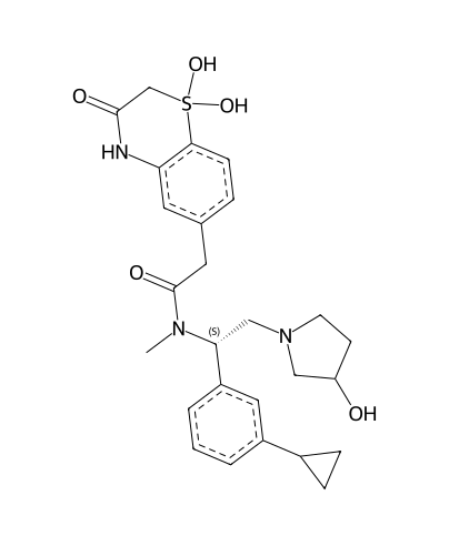 CN(C(=O)Cc1ccc2c(c1)NC(=O)CS2(O)O)[C@H](CN1CCC(O)C1)c1cccc(C2CC2)c1